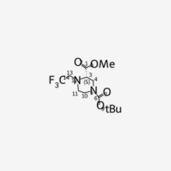 COC(=O)[C@@H]1CN(C(=O)OC(C)(C)C)CCN1CC(F)(F)F